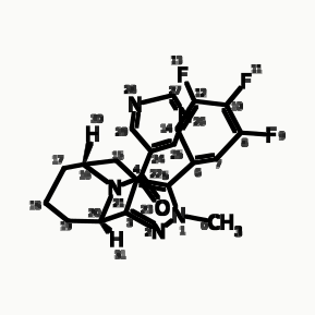 Cn1nc2c(c1-c1cc(F)c(F)c(F)c1)C[C@H]1CCC[C@@H]2N1C(=O)c1cncnc1